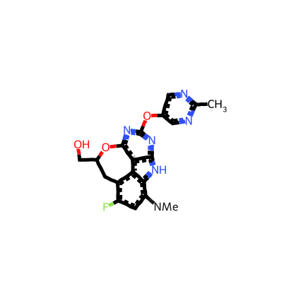 CNc1cc(F)c2c3c1[nH]c1nc(Oc4cnc(C)nc4)nc(c13)OC(CO)C2